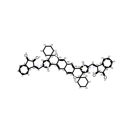 O=C1C(=O)c2ccccc2/C1=C/c1cc2c(s1)C1=CC3C=C4OC5(CCCCC5)c5cc(/C=C6\C(=O)C(=O)c7ccccc76)sc5C4=CC3C=C1OC21CCCCC1